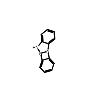 c1ccc2c(c1)[nH]n1c3ccccc3n21